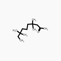 CCC(C)(C)CCCC(C)(C)CC(C)=O